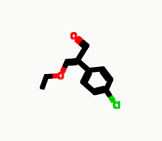 CCO/C=C(/C=O)c1ccc(Cl)cc1